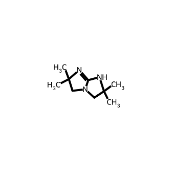 CC1(C)CN2CC(C)(C)NC2=N1